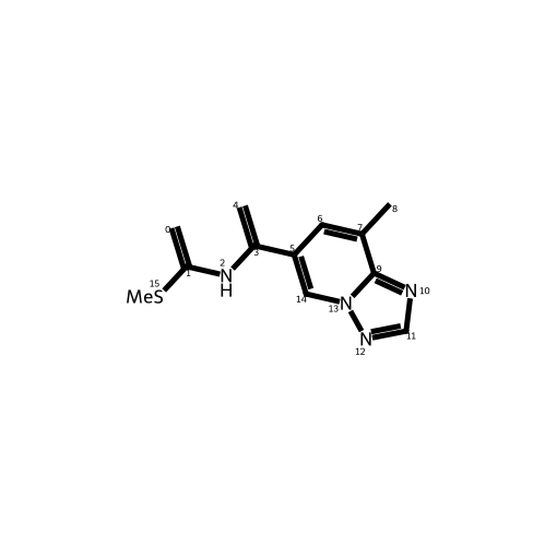 C=C(NC(=C)c1cc(C)c2ncnn2c1)SC